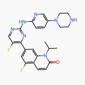 CC(C)n1c(=O)ccc2c(F)cc(-c3nc(Nc4ccc(N5CCNCC5)cn4)ncc3F)cc21